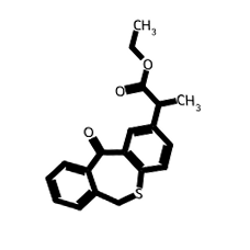 CCOC(=O)C(C)c1ccc2c(c1)C(=O)c1ccccc1CS2